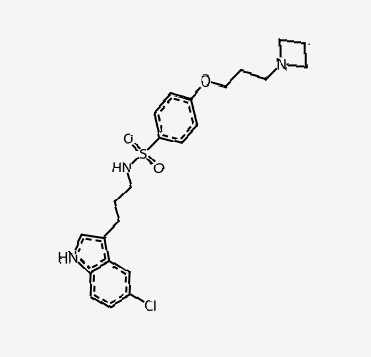 O=S(=O)(NCCCc1c[nH]c2ccc(Cl)cc12)c1ccc(OCCCN2C[CH]C2)cc1